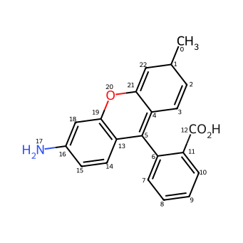 CC1C=CC2=C(c3ccccc3C(=O)O)c3ccc(N)cc3OC2=C1